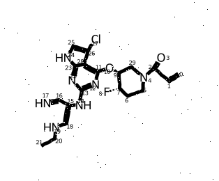 C=CC(=O)N1CC[C@H](F)[C@@H](Oc2nc(N/C(C=N)=C/NCC)nc3[nH]cc(Cl)c23)C1